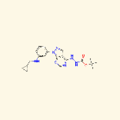 CC(C)(C)OC(=O)NNc1ncnc2c1cnn2-c1cccc(NCC2CC2)c1